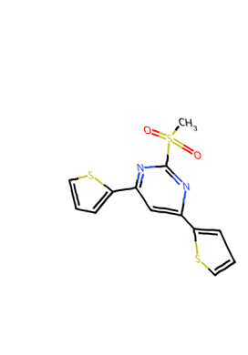 CS(=O)(=O)c1nc(-c2cccs2)cc(-c2cccs2)n1